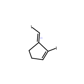 I/C=C1\CCC=C1I